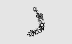 Cc1cnc(N2CCC(Oc3nc4ccc(N5CCN(S(=O)(=O)CCCCO)CC5)cc4s3)CC2)nc1